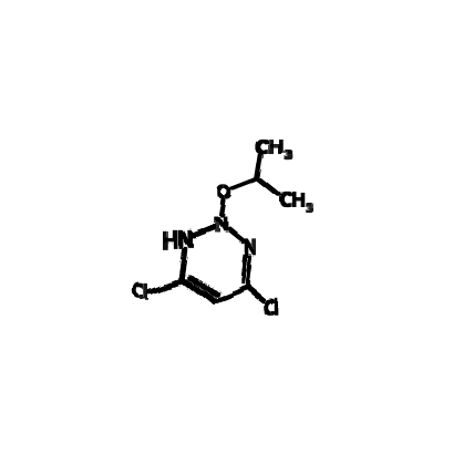 CC(C)ON1N=C(Cl)C=C(Cl)N1